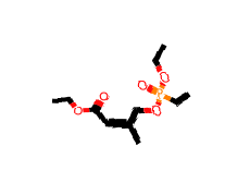 CCOC(=O)C=C(C)COP(=O)(CC)OCC